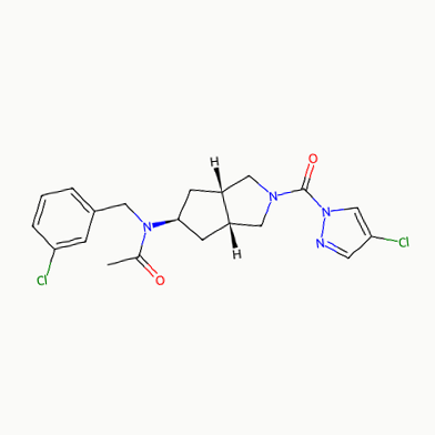 CC(=O)N(Cc1cccc(Cl)c1)[C@H]1C[C@@H]2CN(C(=O)n3cc(Cl)cn3)C[C@@H]2C1